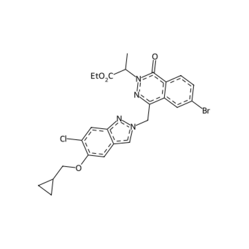 CCOC(=O)C(C)n1nc(Cn2cc3cc(OCC4CC4)c(Cl)cc3n2)c2cc(Br)ccc2c1=O